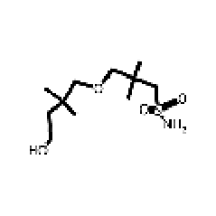 CC(C)(CCO)COCC(C)(C)CS(N)(=O)=O